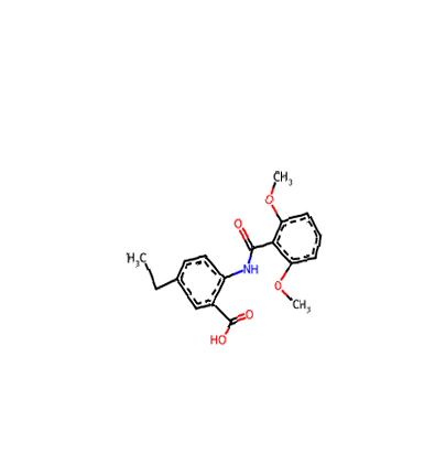 CCc1ccc(NC(=O)c2c(OC)cccc2OC)c(C(=O)O)c1